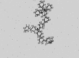 c1ccc(-c2ccc(N(c3ccc(-c4cccc(C56CC7CC(CC(C7)C5)C6)c4)cc3)c3ccc(-c4cccc(C56CC7(c8ccccc8)CC(c8ccccc8)(CC(c8ccccc8)(C7)C5)C6)c4)cc3)cc2)cc1